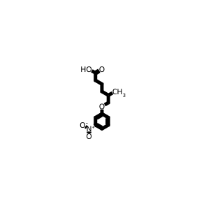 CC(CCCC(=O)O)COc1cccc([N+](=O)[O-])c1